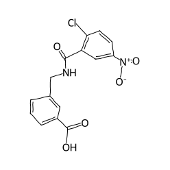 O=C(O)c1cccc(CNC(=O)c2cc([N+](=O)[O-])ccc2Cl)c1